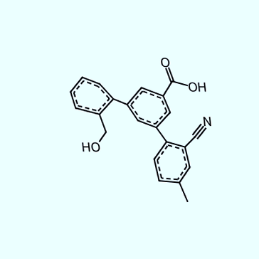 Cc1ccc(-c2cc(C(=O)O)cc(-c3ccccc3CO)c2)c(C#N)c1